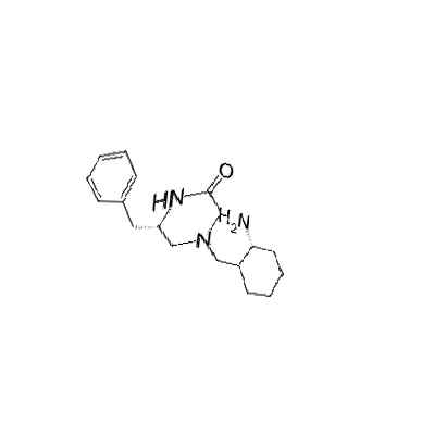 N[C@@H]1CCCCC1CN1CC(=O)N[C@@H](Cc2ccccc2)C1